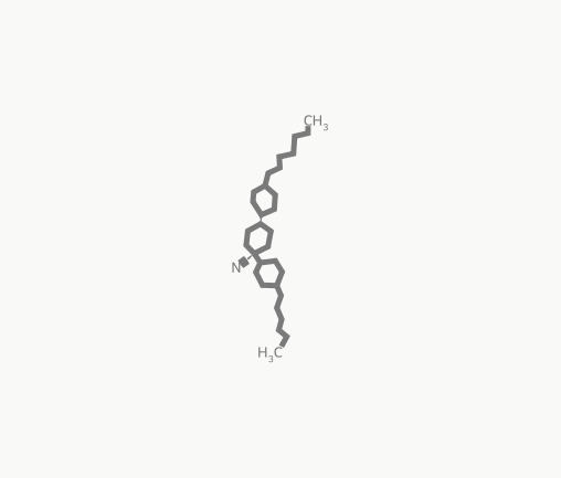 CCCCCCCC1CCC([C@H]2CC[C@](C#N)(C3CCC(CCCCCC)CC3)CC2)CC1